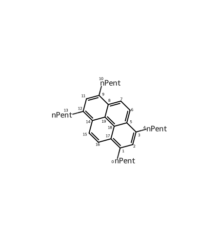 CCCCCc1cc(CCCCC)c2ccc3c(CCCCC)cc(CCCCC)c4ccc1c2c43